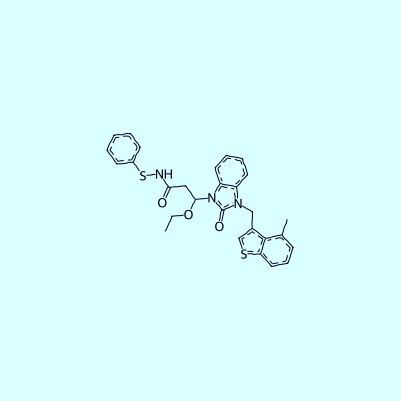 CCOC(CC(=O)NSc1ccccc1)n1c(=O)n(Cc2csc3cccc(C)c23)c2ccccc21